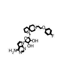 Nc1ncnc2c1ccn2[C@@H]1O[C@H](CN2CCCC23CCN(CCOc2ccc(F)cc2)CC3)[C@@H](O)[C@H]1O